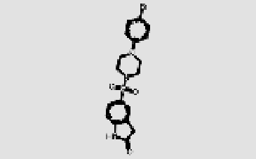 O=C1Cc2cc(S(=O)(=O)N3CCN(c4ccc(Br)cc4)CC3)ccc2N1